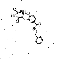 O=C(NCCc1ccccc1)c1ccc2c(c1)Cc1c([nH]c(=O)[nH]c1=O)O2